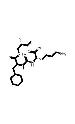 CC[C@@H](C)CNC(=O)C(CC1CCCCC1)NC(=O)N[C@@H](CCCCN)C(=O)O